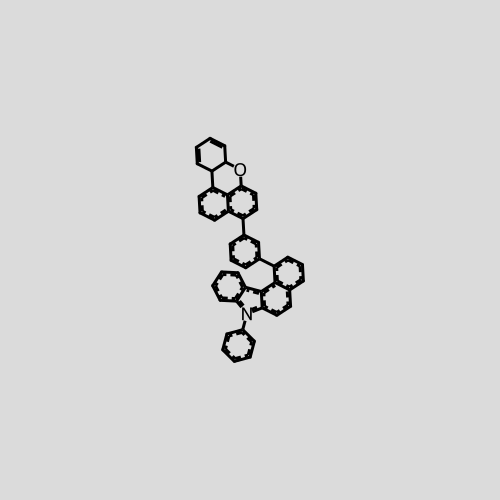 C1=CC2Oc3ccc(-c4cccc(-c5cccc6ccc7c(c8ccccc8n7-c7ccccc7)c56)c4)c4cccc(c34)C2C=C1